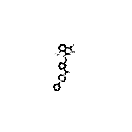 CC1C=CC=C2C(=O)NN=C(OCc3cccc(C(=O)N4CCN(c5ccccc5)CC4)c3)C21